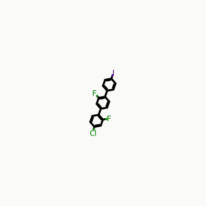 Fc1cc(Cl)ccc1-c1ccc(-c2ccc(I)cc2)c(F)c1